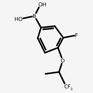 CC(Oc1ccc(B(O)O)cc1F)C(F)(F)F